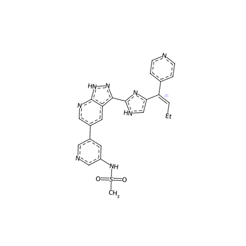 CC/C=C(/c1ccncc1)c1c[nH]c(-c2n[nH]c3ncc(-c4cncc(NS(C)(=O)=O)c4)cc23)n1